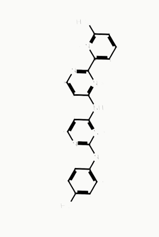 Cc1cccc(-c2nccc(Nc3ccnc(Nc4ccc(O)cc4)n3)n2)n1